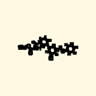 CC(NC(=O)OC(C)(C)C)c1cccc(-c2cc(Cl)cc(COc3ccccc3)c2)n1